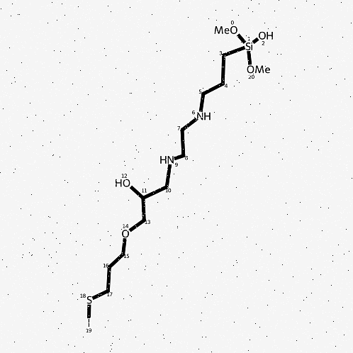 CO[Si](O)(CCCNCCNCC(O)COCCCSI)OC